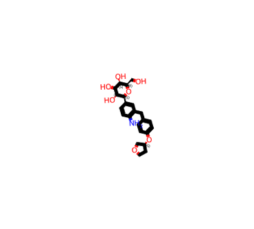 Nc1ccc([C@@H]2O[C@H](CO)[C@@H](O)C(O)[C@H]2O)cc1Cc1ccc(O[C@H]2CCOC2)cc1